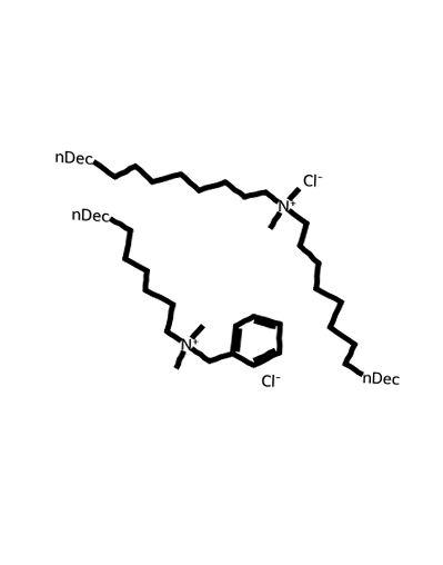 CCCCCCCCCCCCCCCCCC[N+](C)(C)CCCCCCCCCCCCCCCCCC.CCCCCCCCCCCCCCCC[N+](C)(C)Cc1ccccc1.[Cl-].[Cl-]